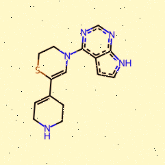 C1=C(C2=CN(c3ncnc4[nH]ccc34)CCS2)CCNC1